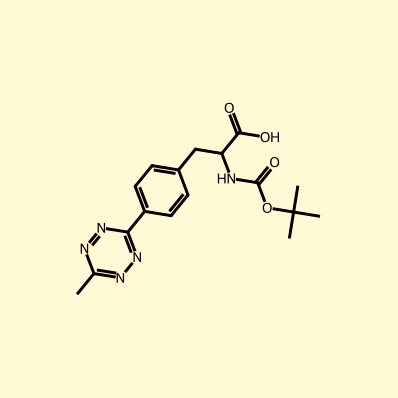 Cc1nnc(-c2ccc(CC(NC(=O)OC(C)(C)C)C(=O)O)cc2)nn1